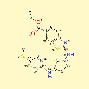 CCOC(=O)c1ccc2nc(N[C@H]3CC[C@H](Nc4ncc(SC)cn4)C3)sc2c1